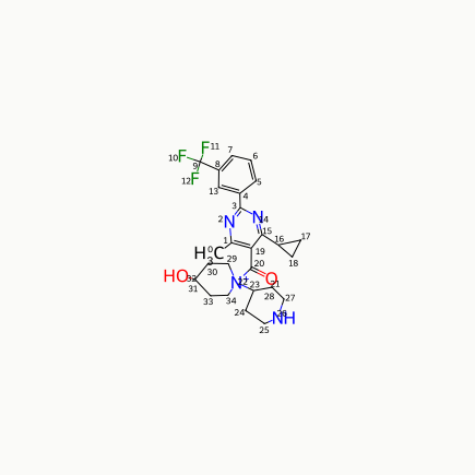 Cc1nc(-c2cccc(C(F)(F)F)c2)nc(C2CC2)c1C(=O)[N+]1(C2CCNCC2)CCC(O)CC1